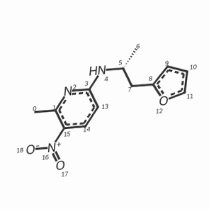 Cc1nc(N[C@H](C)Cc2ccco2)ccc1[N+](=O)[O-]